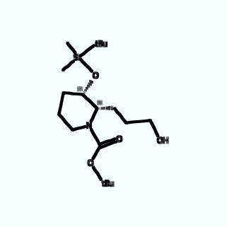 CC(C)(C)OC(=O)N1CCC[C@H](O[Si](C)(C)C(C)(C)C)[C@@H]1CCCO